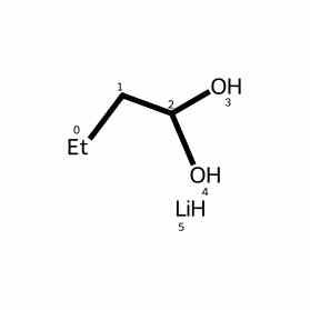 CCCC(O)O.[LiH]